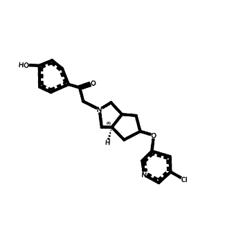 O=C(CN1CC2CC(Oc3cncc(Cl)c3)C[C@H]2C1)c1ccc(O)cc1